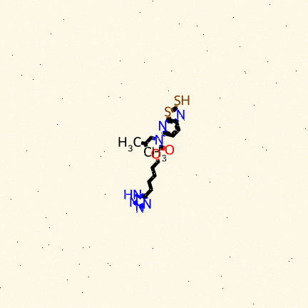 CC(C)CN(C(=O)OCCCCCc1nnn[nH]1)c1ccc2nc(S)sc2n1